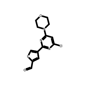 O=Cc1cc(-c2nc(Cl)cc(N3CCOCC3)n2)cs1